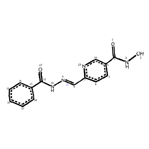 O=C(NO)c1ccc(/C=N/NC(=O)c2ccccc2)nc1